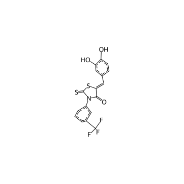 O=C1C(=Cc2ccc(O)c(O)c2)SC(=S)N1c1cccc(C(F)(F)F)c1